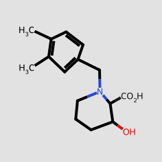 Cc1ccc(CN2CCCC(O)C2C(=O)O)cc1C